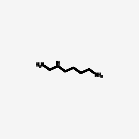 NCCCCNCN